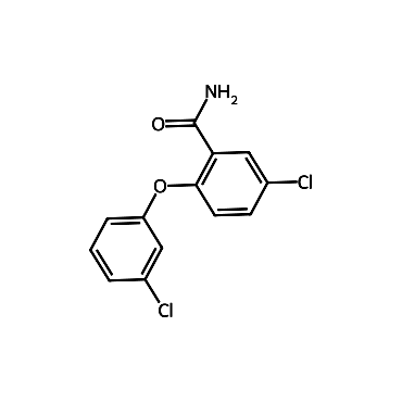 NC(=O)c1cc(Cl)ccc1Oc1cccc(Cl)c1